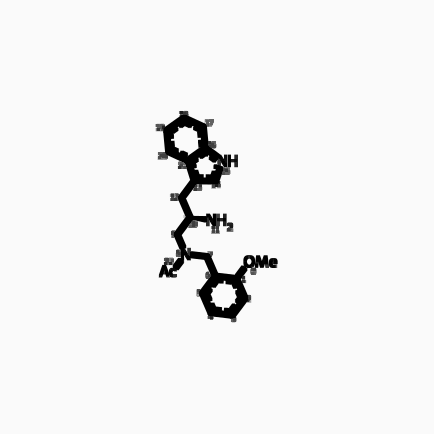 COc1ccccc1CN(C[C@H](N)Cc1c[nH]c2ccccc12)C(C)=O